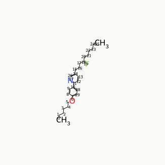 CCCCCCOc1ccc(-c2ccc(CCCC(F)CCCCCC)cn2)cc1